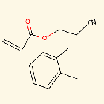 C=CC(=O)OCCC#N.Cc1ccccc1C